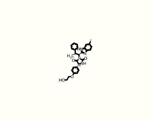 C[C@H](c1ccccc1)[C@@H](c1nc2ccc(I)cc2[nH]1)N1C(=O)N[C@H](c2ccc(OCCO)cc2)C1=O